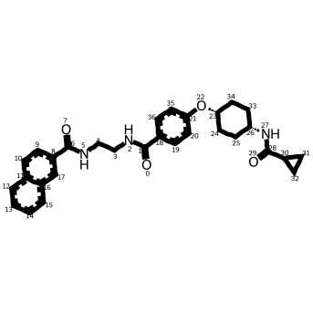 O=C(NCCNC(=O)c1ccc2ccccc2c1)c1ccc(O[C@H]2CC[C@@H](NC(=O)C3CC3)CC2)cc1